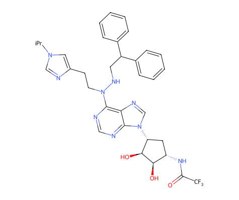 CC(C)n1cnc(CCN(NCC(c2ccccc2)c2ccccc2)c2ncnc3c2ncn3[C@@H]2C[C@H](NC(=O)C(F)(F)F)[C@@H](O)[C@H]2O)c1